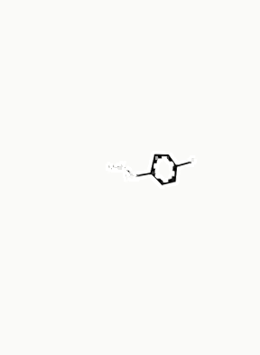 CNNc1ccc(F)cc1